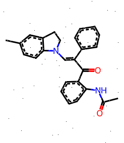 CC(=O)Nc1ccccc1C(=O)/C(=C/N1CCc2cc(C)ccc21)c1ccccc1